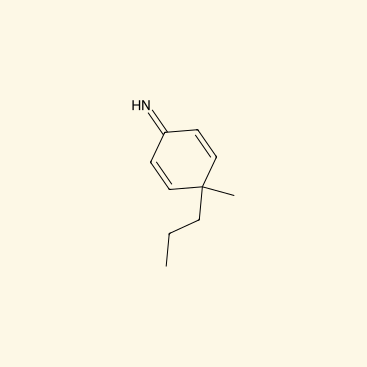 CCCC1(C)C=CC(=N)C=C1